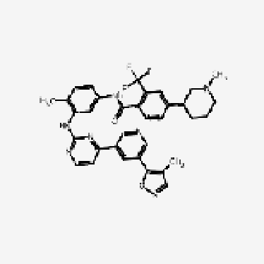 Cc1ccc(NC(=O)c2ccc(C3CCCN(C)C3)cc2C(F)(F)F)cc1Nc1nccc(-c2cncc(-c3oncc3C)c2)n1